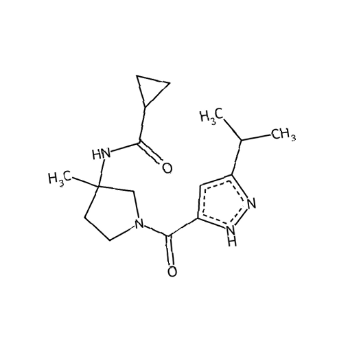 CC(C)c1cc(C(=O)N2CCC(C)(NC(=O)C3CC3)C2)[nH]n1